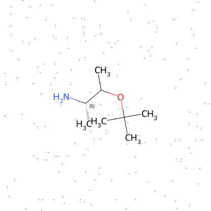 CC(OC(C)(C)C)[C@H](C)N